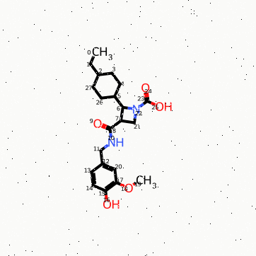 CCC1CCC(C2C(C(=O)NCc3ccc(O)c(OC)c3)CN2C(=O)O)CC1